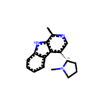 Cc1ncc([C@@H]2CCCN2C)c2c1[nH]c1ccccc12